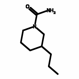 CCCC1CCCN(C(N)=O)C1